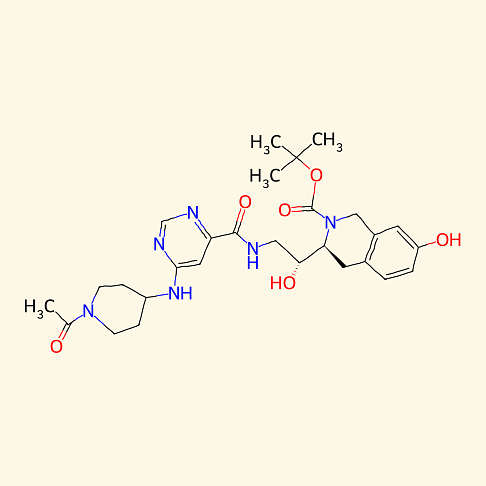 CC(=O)N1CCC(Nc2cc(C(=O)NC[C@@H](O)[C@@H]3Cc4ccc(O)cc4CN3C(=O)OC(C)(C)C)ncn2)CC1